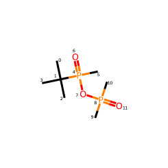 CC(C)(C)P(C)(=O)OP(C)(C)=O